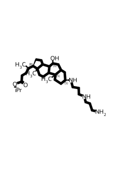 CC(C)OC(=O)CC[C@@H](C)[C@H]1CCC2C3C(CC[C@@]21C)[C@@]1(C)CC[C@H](NCCCNCCCN)CC1C[C@@H]3O